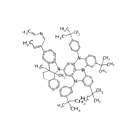 C=C/N=C\C(=C/C)c1ccc2c(c1)C1(C)CCc3ccccc3C1(C)N2c1cc2c3c(c1)N(c1cccc(C(C)(C)C)c1)c1cc(C(C)(C)C)ccc1B3c1cc(C(C)(C)C)ccc1N2c1ccc(C(C)(C)C)cc1